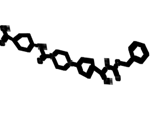 N=C(NC(=O)OCc1ccccc1)c1ccc(N2CCN(C(=O)N[C@H]3CC[C@H](C(=O)O)CC3)CC2)cc1